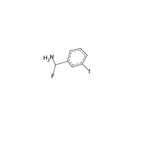 NC(F)c1cccc(I)c1